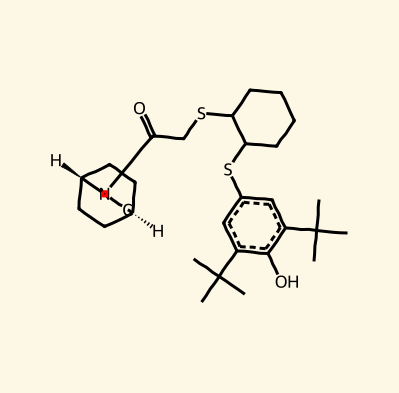 CC(C)(C)c1cc(SC2CCCCC2SCC(=O)N2C[C@H]3CC[C@@H](CC3)C2)cc(C(C)(C)C)c1O